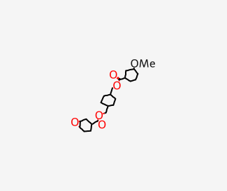 COC1CCCC(C(=O)OCC2CCC(COC(=O)C3CCC4OC4C3)CC2)C1